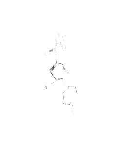 CN1CCN(c2ncc(C(=O)NO)cc2F)CC1